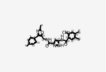 Cc1ccc(-c2nc(C)oc2CNC(=O)c2cc(NC(=O)c3cc(F)c(F)cc3Cl)[nH]n2)cc1